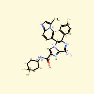 Cc1cnc2ccc(-c3c(-c4ccc(F)cc4)nc(N)c4nc(C(=O)NC5CCC(F)(F)CC5)cn34)cn12